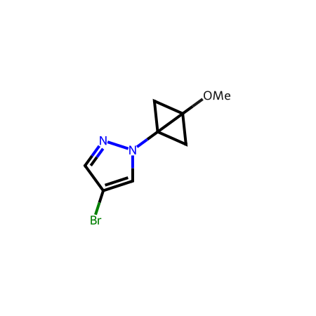 COC12CC1(n1cc(Br)cn1)C2